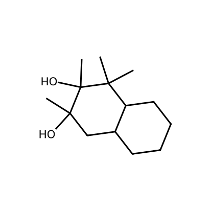 CC1(O)CC2CCCCC2C(C)(C)C1(C)O